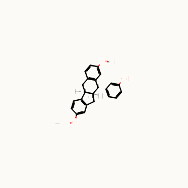 COc1ccc2c(c1)C[C@H]1[C@@H](c3cccc(O)c3)c3cc(OC)ccc3C[C@@H]21